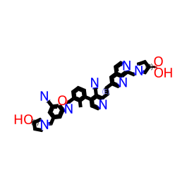 Cc1c(-c2nc3cc(CN4CC[C@@H](O)C4)cc(C#N)c3o2)cccc1-c1ccnc(/C=C/c2cnc3c(CN4CC[C@@H](C(=O)O)C4)nccc3c2)c1C#N